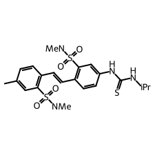 CNS(=O)(=O)c1cc(C)ccc1/C=C/c1ccc(NC(=S)NC(C)C)cc1S(=O)(=O)NC